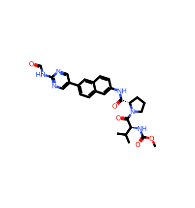 COC(=O)N[C@H](C(=O)N1CCC[C@H]1C(=O)Nc1ccc2cc(-c3cnc(NC=O)nc3)ccc2c1)C(C)C